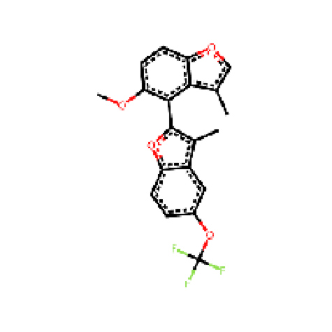 COc1ccc2o[c]c(C)c2c1-c1oc2ccc(OC(F)(F)F)cc2c1C